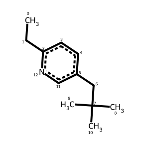 CCc1ccc(CC(C)(C)C)cn1